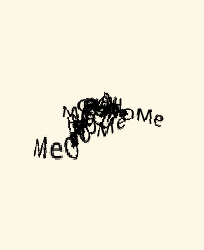 CCCCP(=O)(CCCOc1cc2c(cc1OC)C(=O)N1C=C(c3ccc(OC)cc3)C[C@H]1C=N2)CCCOc1cc2c(cc1OC)C(=O)N1C=C(c3ccc(OC)cc3)C[C@H]1C=N2